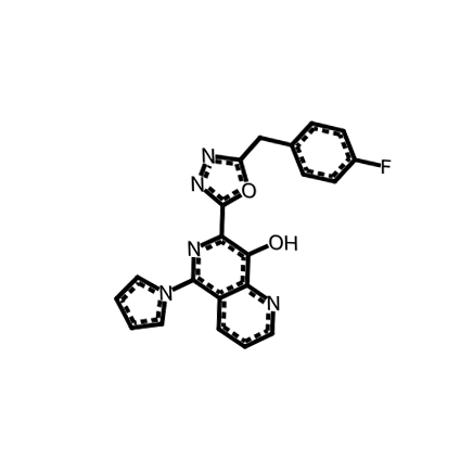 Oc1c(-c2nnc(Cc3ccc(F)cc3)o2)nc(-n2cccc2)c2cccnc12